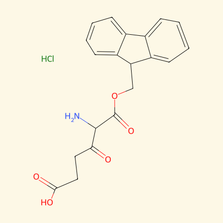 Cl.NC(C(=O)CCC(=O)O)C(=O)OCC1c2ccccc2-c2ccccc21